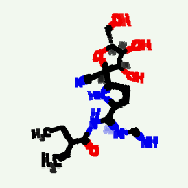 CCC(CC)C(=O)N/C(=N/C=N)c1ccc([C@]2(C#N)O[C@H](CO)[C@@H](O)[C@H]2O)[nH]1